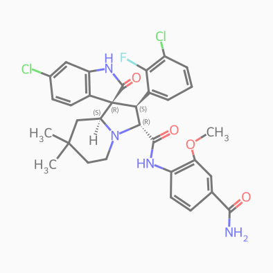 COc1cc(C(N)=O)ccc1NC(=O)[C@H]1[C@H](c2cccc(Cl)c2F)[C@]2(C(=O)Nc3cc(Cl)ccc32)[C@@H]2CC(C)(C)CCN21